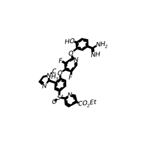 CCOC(=O)c1ccc([S+]([O-])c2ccc(Oc3c(F)cnc(Oc4cc(C(=N)N)ccc4O)c3F)c(C3N=CCN3C)c2)nc1